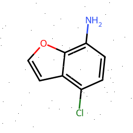 Nc1ccc(Cl)c2ccoc12